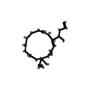 C=CCC(C)/C1=C/NCC(C)(N)CCCCCCCCC1